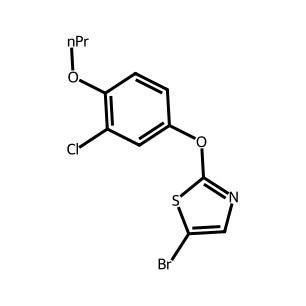 CCCOc1ccc(Oc2ncc(Br)s2)cc1Cl